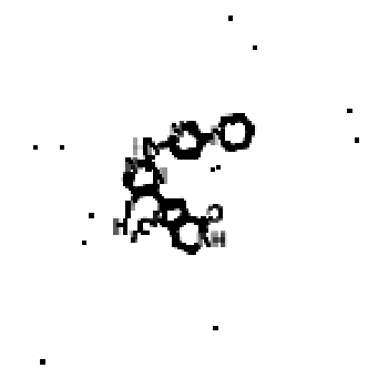 Cn1c(-c2nc(Nc3ccc(N4CCCCC4)cn3)ncc2F)cc2c1CCNC2=O